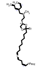 C=C/C=C(\C=C/C)CN(C)CC[C@@H]1COC(CC)(CCCCCCCC=C=CC/C=C\CCCCC)O1